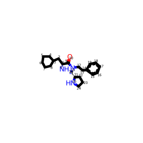 N[C@H](CC1CCCCC1)C(=O)N(CCc1ccccc1)C[C@@H]1CCCN1